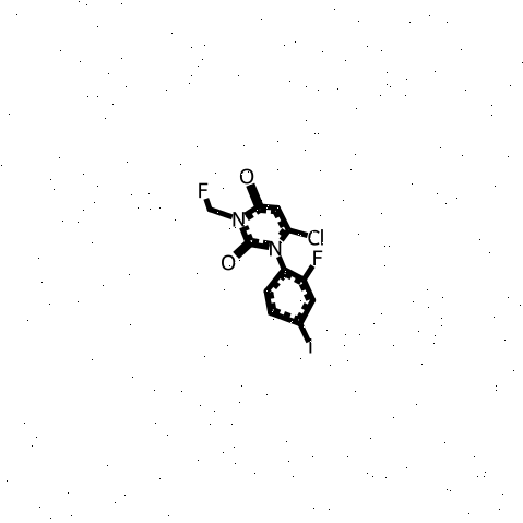 O=c1cc(Cl)n(-c2ccc(I)cc2F)c(=O)n1CF